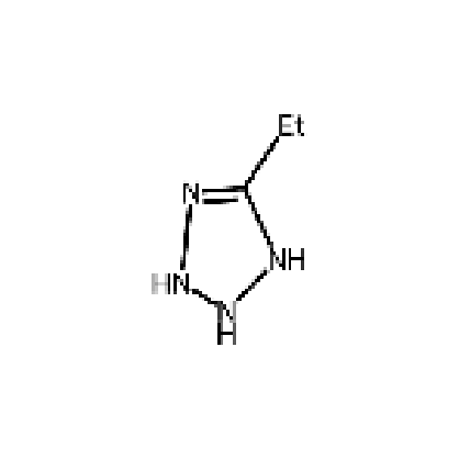 CCC1=NNNN1